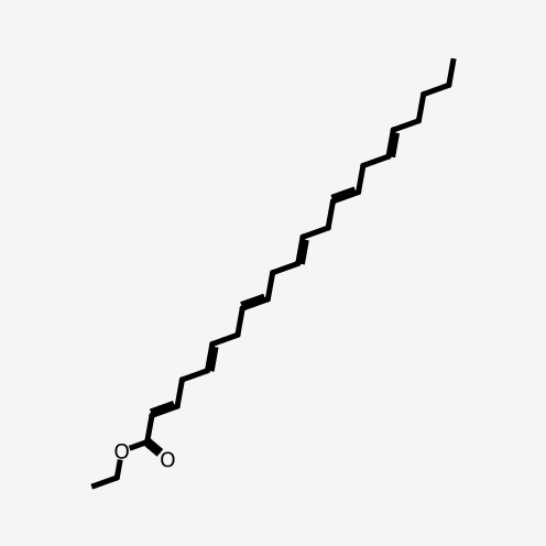 CCCCC=CCC=CCC=CCC=CCC=CCC=CC(=O)OCC